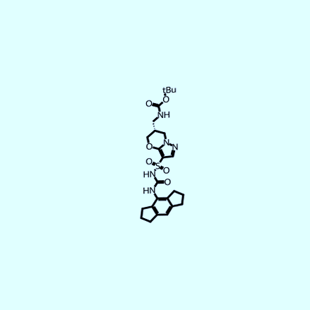 CC(C)(C)OC(=O)NC[C@H]1COc2c(S(=O)(=O)NC(=O)Nc3c4c(cc5c3CCC5)CCC4)cnn2C1